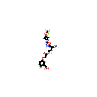 C=C(CCNC(=O)COc1ccc(Cl)c(CO)c1)c1nnc([C@H]2C[C@@H](OC(F)(F)F)C2)o1